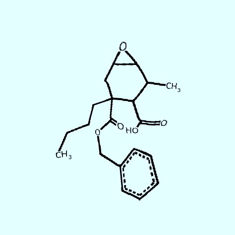 CCCCC1(C(=O)OCc2ccccc2)CC2OC2C(C)C1C(=O)O